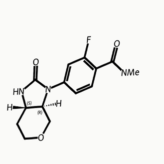 CNC(=O)c1ccc(N2C(=O)N[C@H]3CCOC[C@@H]32)cc1F